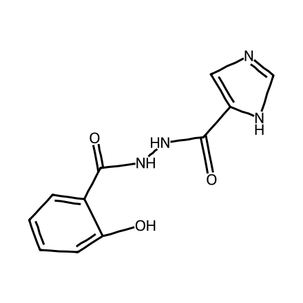 O=C(NNC(=O)c1ccccc1O)c1cnc[nH]1